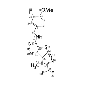 COc1ccc(CNc2ncnc3c2sc2nnc(C(F)F)c(C)c23)cc1F